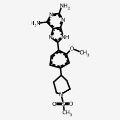 COc1cc(C2CCN(S(C)(=O)=O)CC2)ccc1-c1nc2c(N)nc(N)nc2[nH]1